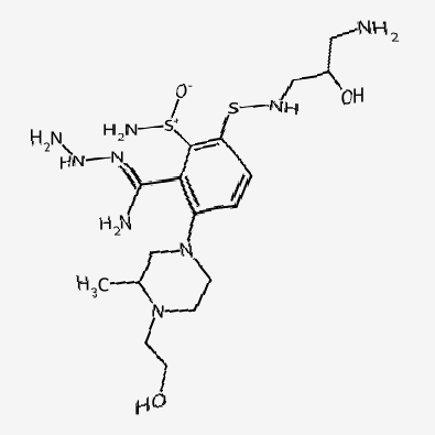 CC1CN(c2ccc(SNCC(O)CN)c([S+](N)[O-])c2/C(N)=N/NN)CCN1CCO